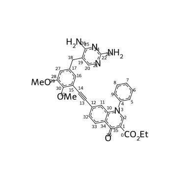 CCOC(=O)c1cn(-c2ccccc2)c2cc(C#Cc3cc(Cc4cnc(N)nc4N)cc(OC)c3OC)ccc2c1=O